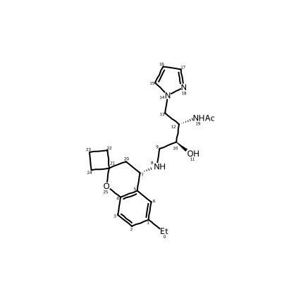 CCc1ccc2c(c1)[C@@H](NC[C@H](O)[C@H](Cn1cccn1)NC(C)=O)CC1(CCC1)O2